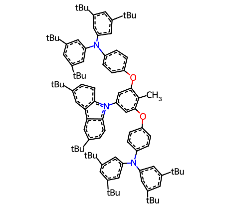 Cc1c(Oc2ccc(N(c3cc(C(C)(C)C)cc(C(C)(C)C)c3)c3cc(C(C)(C)C)cc(C(C)(C)C)c3)cc2)cc(-n2c3ccc(C(C)(C)C)cc3c3cc(C(C)(C)C)ccc32)cc1Oc1ccc(N(c2cc(C(C)(C)C)cc(C(C)(C)C)c2)c2cc(C(C)(C)C)cc(C(C)(C)C)c2)cc1